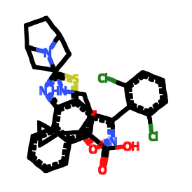 O=C(O)c1cc2sc(N3C4CCC3CC(NCc3c(-c5c(Cl)cccc5Cl)noc3C3CC3)C4)nc2c2ccccc12